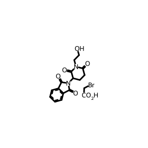 O=C(O)CBr.O=C1CCC(N2C(=O)c3ccccc3C2=O)C(=O)N1CCO